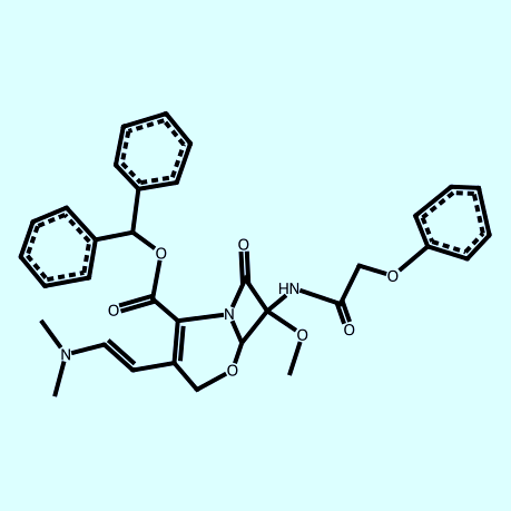 COC1(NC(=O)COc2ccccc2)C(=O)N2C(C(=O)OC(c3ccccc3)c3ccccc3)=C(C=CN(C)C)COC21